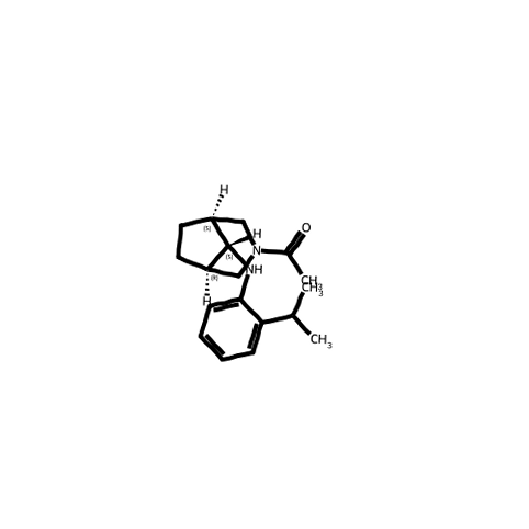 CC(=O)N1C[C@H]2CC[C@@H](C1)[C@@H]2Nc1ccccc1C(C)C